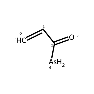 [CH]=CC(=O)[AsH2]